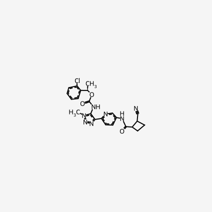 C[C@@H](OC(=O)Nc1c(-c2ccc(NC(=O)C3CCC3C#N)cn2)nnn1C)c1ccccc1Cl